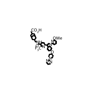 COc1cccc(-n2cc(-c3ccc(C(=O)NCC4CC5CC(CC(=O)O)CC(C4)C5)c(C(F)(F)F)n3)c3ccc(OC4CCN(c5ncccn5)CC4)cc32)n1